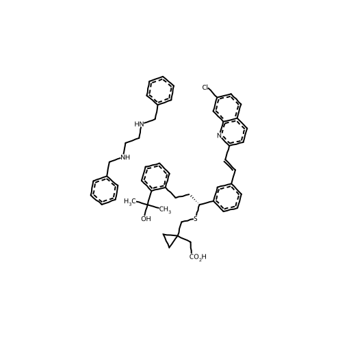 CC(C)(O)c1ccccc1CC[C@@H](SCC1(CC(=O)O)CC1)c1cccc(/C=C/c2ccc3ccc(Cl)cc3n2)c1.c1ccc(CNCCNCc2ccccc2)cc1